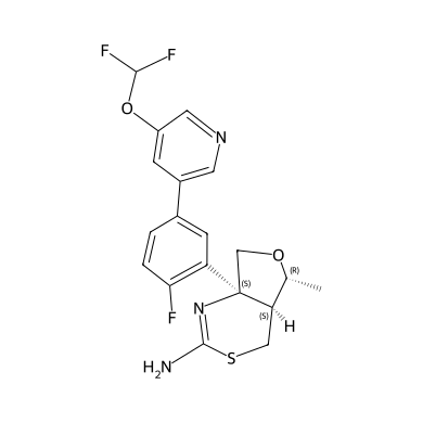 C[C@H]1OC[C@]2(c3cc(-c4cncc(OC(F)F)c4)ccc3F)N=C(N)SC[C@H]12